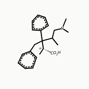 CC(CN(C)C)C(Cc1ccccc1)(c1ccccc1)[C@@H](C)C(=O)O